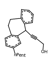 CCCCCc1ccc2c(c1)C(C#CCO)c1ccccc1CC2